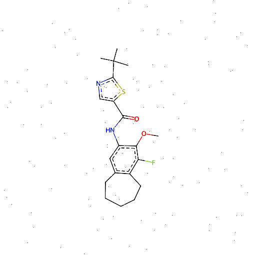 COc1c(NC(=O)c2cnc(C(C)(C)C)s2)cc2c(c1F)CCCCC2